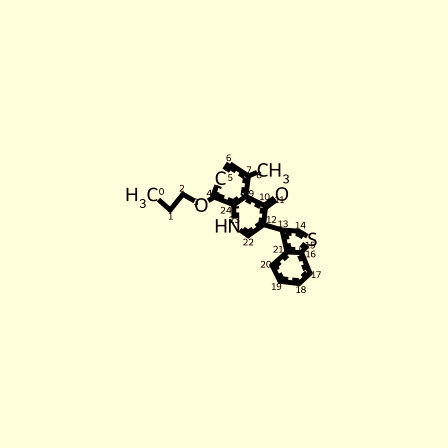 CCCOc1ccc(C)c2c(=O)c(-c3csc4ccccc34)c[nH]c12